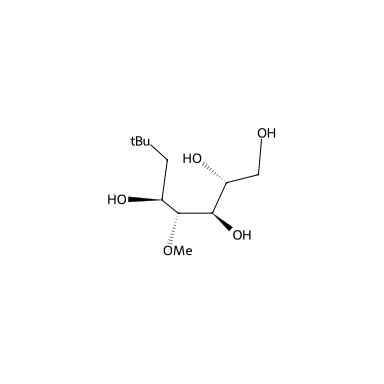 CO[C@@H]([C@H](O)[C@H](O)CO)[C@@H](O)CC(C)(C)C